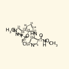 CONC(=O)c1cnc(Cl)cc1Nc1cccc(-c2cnn(C)c2)c1OC(F)F